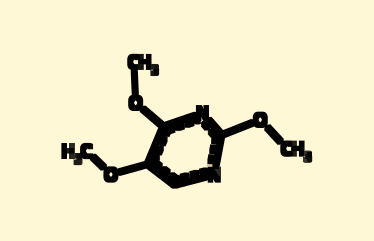 COc1ncc(OC)c(OC)n1